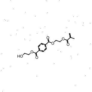 C=C(C)C(=O)OCCOC(=O)c1ccc(C(=O)OCCO)cc1